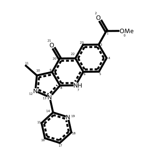 COC(=O)c1ccc2[nH]c3c(c(C)nn3-c3ccccn3)c(=O)c2c1